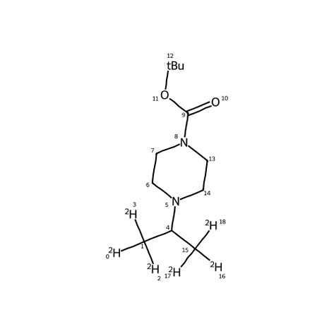 [2H]C([2H])([2H])C(N1CCN(C(=O)OC(C)(C)C)CC1)C([2H])([2H])[2H]